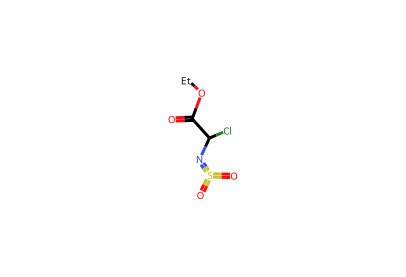 CCOC(=O)C(Cl)N=S(=O)=O